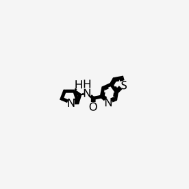 O=C(N[C@H]1CN2CC[C@H]1C2)c1cc2ccsc2cn1